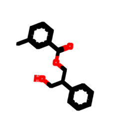 Cc1cccc(C(=O)OCC(CO)c2ccccc2)c1